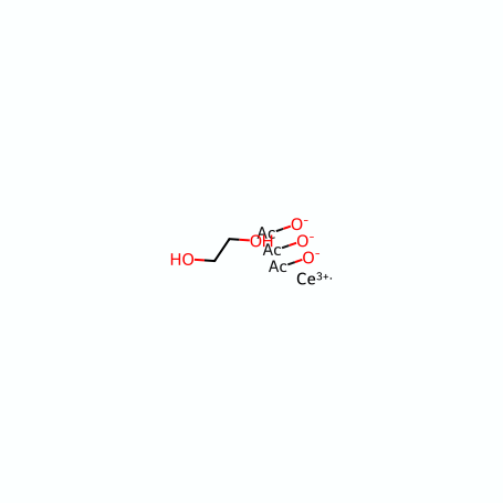 CC(=O)[O-].CC(=O)[O-].CC(=O)[O-].OCCO.[Ce+3]